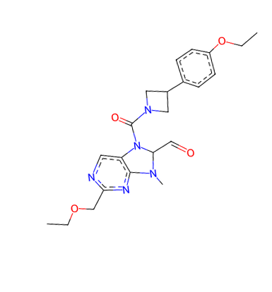 CCOCc1ncc2c(n1)N(C)C(C=O)N2C(=O)N1CC(c2ccc(OCC)cc2)C1